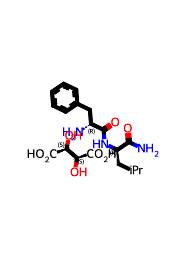 CC(C)C[C@@H](NC(=O)[C@H](N)Cc1ccccc1)C(N)=O.O=C(O)[C@@H](O)[C@H](O)C(=O)O